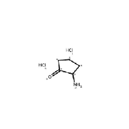 Cl.Cl.NC1CCCC1=O